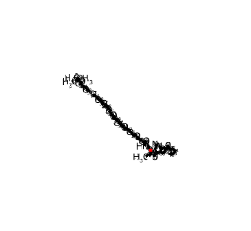 CCCN(OCCNC(=O)OCCOCCOCCOCCOCCOCCOCCOCCOCCOCCOCCC(=O)OC(C)(C)C)C(=O)C1=Cc2ccc(C(=O)N3CCCCC3)cc2N=C(N)C1